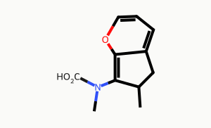 CC1CC2=CC=COC2=C1N(C)C(=O)O